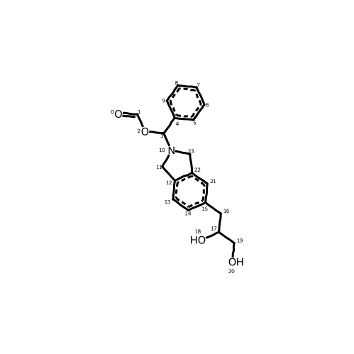 O=COC(c1ccccc1)N1Cc2ccc(CC(O)CO)cc2C1